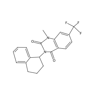 Cn1c(=O)n(C2CCCc3ccccc32)c(=O)c2ccc(C(F)(F)F)cc21